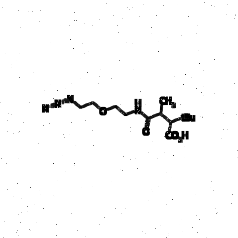 CC(C(=O)NCCOCCN=[N+]=[N-])C(C(=O)O)C(C)(C)C